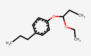 CCCc1ccc(OC(CC)OCC)cc1